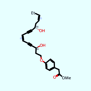 CC/C=C\C[C@H](O)C#C/C=C\C#C[C@@H](O)CCOc1ccc(CC(=O)OC)cc1